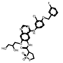 O=C(Nc1cc2c(Nc3ccc(OCc4cccc(F)c4)c(Cl)c3)ncnc2cc1OCC(O)CO)C1CCSS1(=O)=O